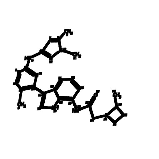 Cc1cnc(Nc2cc(C)n(C)n2)nc1-c1c[nH]c2c(NC(=O)CN3CCC3C)cccc12